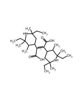 CCC1(C)CC(/C(C(=O)O)=C(\C(=O)O)C2CC(C)(CC)NC(C)(CC)C2C)C(C)C(C)(CC)N1